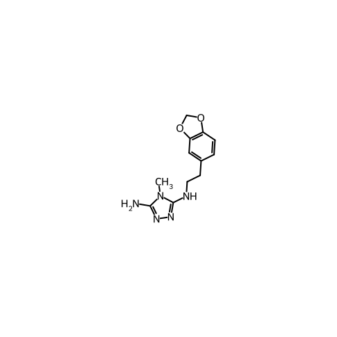 Cn1c(N)nnc1NCCc1ccc2c(c1)OCO2